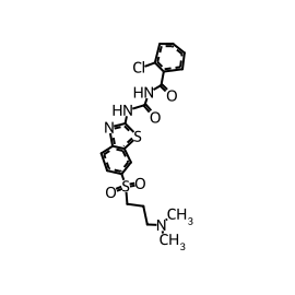 CN(C)CCCS(=O)(=O)c1ccc2nc(NC(=O)NC(=O)c3ccccc3Cl)sc2c1